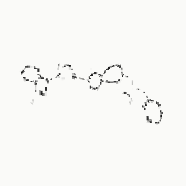 Cn1cc(-c2ncc(-c3ccc4cc(OC(Cc5ccccc5)C(=O)O)ccc4c3)o2)c2ccccc21